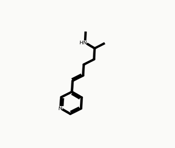 CNC(C)CCC=Cc1cccnc1